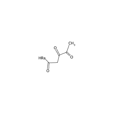 CC(=O)C(=O)C[C](=O)[RaH]